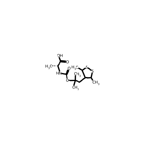 CC1SSC(C)C1CC(C)(C)OC(=O)N[C@H](C)C(=O)O